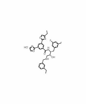 CCc1cccc(CNC[C@H](O)[C@H](Cc2cc(F)cc(F)c2)NC(=O)c2cc(-c3ncco3)cc(-c3nc(CC)co3)c2)c1.Cl